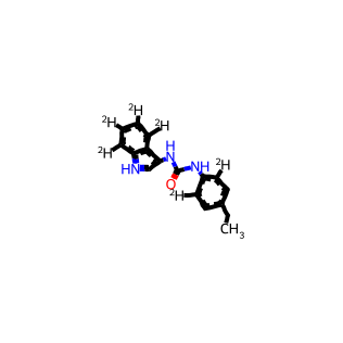 [2H]c1cc(CC)cc([2H])c1NC(=O)Nc1c[nH]c2c([2H])c([2H])c([2H])c([2H])c12